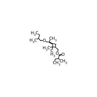 CCC(C)COCC(C)=C1CC(COC(=O)C(C)CC)C1(C)C